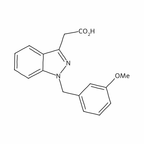 COc1cccc(Cn2nc(CC(=O)O)c3ccccc32)c1